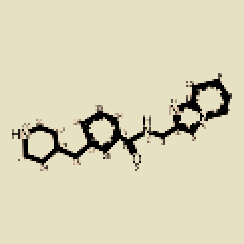 O=C(NCc1cn2ccccc2n1)c1cccc(CC2CCNCC2)c1